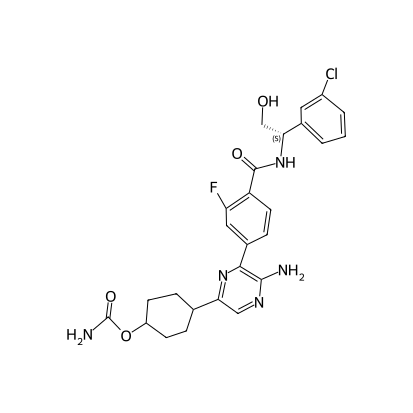 NC(=O)OC1CCC(c2cnc(N)c(-c3ccc(C(=O)N[C@H](CO)c4cccc(Cl)c4)c(F)c3)n2)CC1